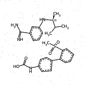 CC(C)[C@H](C)Nc1cccc(C(=N)N)c1.CS(=O)(=O)c1ccccc1-c1ccc(NC(=O)O)cc1